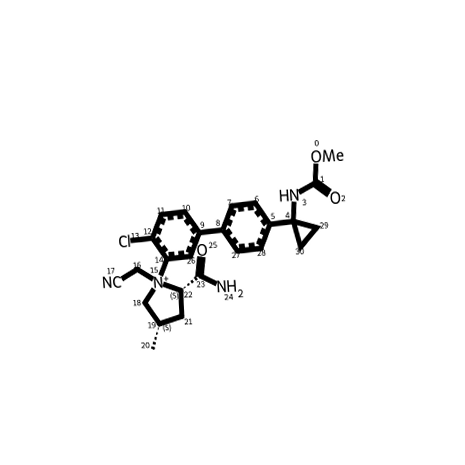 COC(=O)NC1(c2ccc(-c3ccc(Cl)c([N+]4(CC#N)C[C@@H](C)C[C@H]4C(N)=O)c3)cc2)CC1